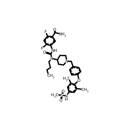 CCCCN(C(=O)Nc1cc(C(N)=O)c(F)cc1F)C1CCN(Cc2ccc(Oc3c(C)cc(NS(C)(=O)=O)cc3C)cc2)CC1